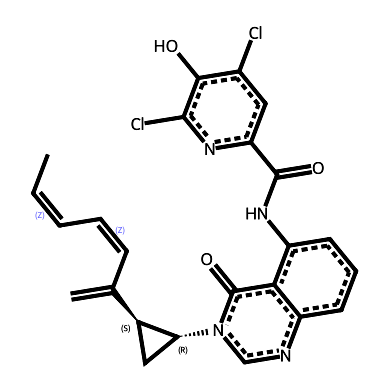 C=C(/C=C\C=C/C)[C@@H]1C[C@H]1n1cnc2cccc(NC(=O)c3cc(Cl)c(O)c(Cl)n3)c2c1=O